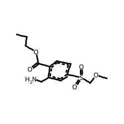 CCCOC(=O)c1ccc(S(=O)(=O)COC)cc1CN